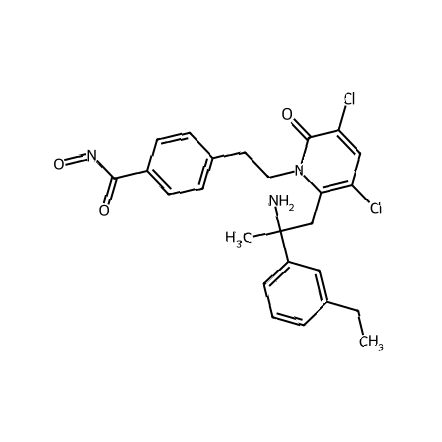 CCc1cccc(C(C)(N)Cc2c(Cl)cc(Cl)c(=O)n2CCc2ccc(C(=O)N=O)cc2)c1